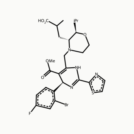 COC(=O)C1=C(CN2CCO[C@H](C(C)C)[C@H]2CC(C)C(=O)O)NC(c2nccs2)=N[C@H]1c1ccc(F)cc1Br